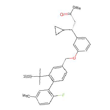 C#CC(C)(C)c1cc(COc2cccc([C@@H](CC(=O)OC)C3CC3)c2)ccc1-c1cc(OC)ccc1F